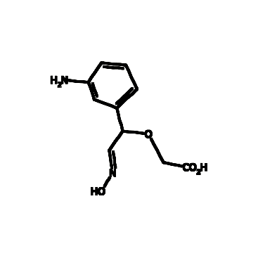 Nc1cccc(C(C=NO)OCC(=O)O)c1